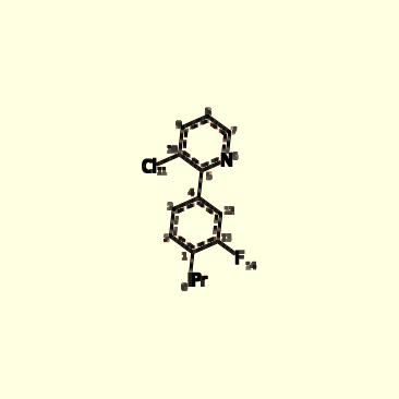 CC(C)c1ccc(-c2ncccc2Cl)cc1F